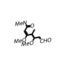 CNC(=O)C=C(OC)C(C)C(CC=O)OC